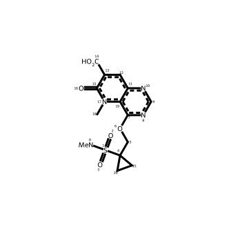 CNS(=O)(=O)C1(COc2ncnc3cc(C(=O)O)c(=O)n(C)c23)CC1